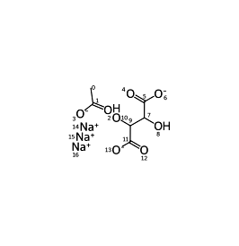 CC(=O)[O-].O=C([O-])C(O)C(O)C(=O)[O-].[Na+].[Na+].[Na+]